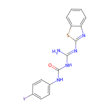 N/C(=N\c1nc2ccccc2s1)NC(=O)Nc1ccc(I)cc1